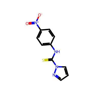 O=[N+]([O-])c1ccc(NC(=S)n2cccn2)cc1